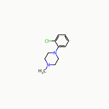 CN1CCN(c2c[c]ccc2Cl)CC1